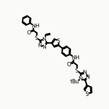 C=Cn1c(SCC(=O)Nc2ccccc2)nnc1-c1csc(-c2ccc(NC(=O)CSc3nnc(-c4ccsc4)n3C(C)(C)C)cc2)c1